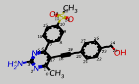 Cc1nc(N)nc(-c2ccc(S(C)(=O)=O)cc2)c1C#Cc1ccc(CO)cc1